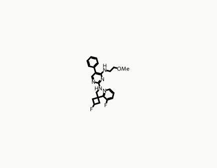 COCCNc1nc(NCC2(c3ncccc3F)CC(F)C2)ncc1-c1ccccc1